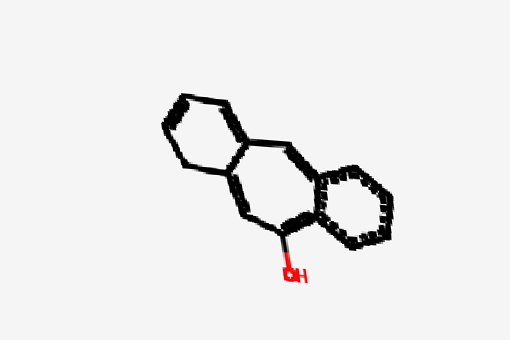 OC1=c2ccccc2=CC2=CC=CCC2=C1